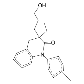 CCC1(CCCO)Cc2ccccc2N(c2ccc(C)cc2)C1=O